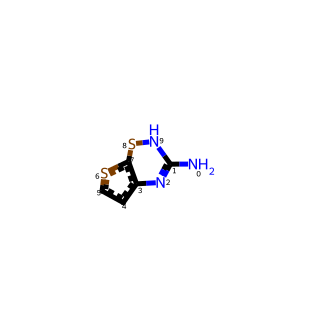 NC1=Nc2ccsc2SN1